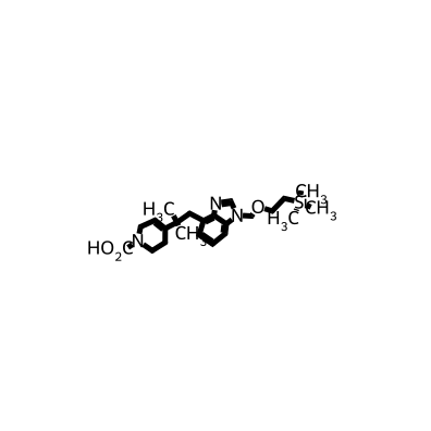 CC(C)(Cc1cccc2c1ncn2COCC[Si](C)(C)C)C1=CCN(C(=O)O)CC1